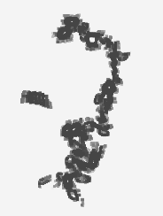 CN(CCN1CCC(OC(=O)Nc2ccccc2-c2ccccc2)CC1)C(=O)CCCCCN(C)c1ccc2c(c1)CCN(CCCN(C)C(=O)CO[C@H]1Cc3ccccc3C13CCN(CC[C@]1(c4ccc(F)cc4)CN(C(=O)c4cc(C(F)(F)F)cc(C(F)(F)F)c4)CO1)CC3)C2=O.Cl.Cl.Cl